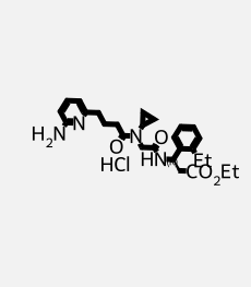 CCOC(=O)C[C@@H](NC(=O)CN(C(=O)CCCc1cccc(N)n1)C1CC1)c1ccccc1CC.Cl